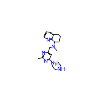 Cc1nc(CN(C)C2CCCc3cccnc32)cc(N2CCNC[C@H]2C)n1